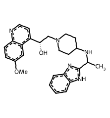 COc1ccc2nccc([C@@H](O)CN3CCC(NC(C)c4nc5ccccc5[nH]4)CC3)c2c1